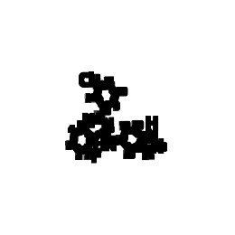 Fc1cccc2nc(-c3cccc(Cl)c3)nc(Nc3ccc4[nH]ncc4c3)c12